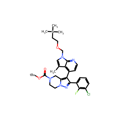 Cc1cn(COCC[Si](C)(C)C)c2nccc(-c3c(-c4cccc(Cl)c4F)nn4c3CN(C(=O)OC(C)(C)C)CC4)c12